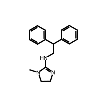 CN1CCN=C1NCC(c1ccccc1)c1ccccc1